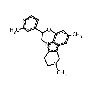 Cc1cc2c3c(c1)c1c(n3CC(c3ccnc(C)c3)O2)CCN(C)C1